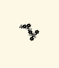 O=C(NC(C(=O)NCc1ccccc1)c1ccccc1)c1ccc(CNC(=O)c2ccccc2-c2ccc(C(F)(F)F)cc2)cc1